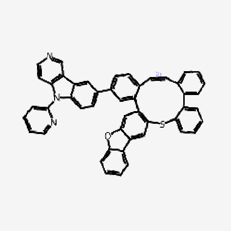 C1=C\c2ccc(-c3ccc4c(c3)c3cnccc3n4-c3ccccn3)cc2-c2cc3oc4ccccc4c3cc2Sc2ccccc2-c2ccccc2/1